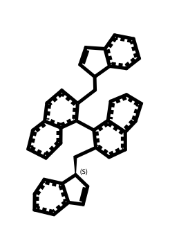 C1=CC(Cc2ccc3ccccc3c2-c2c(C[C@H]3C=Cc4ccccc43)ccc3ccccc23)c2ccccc21